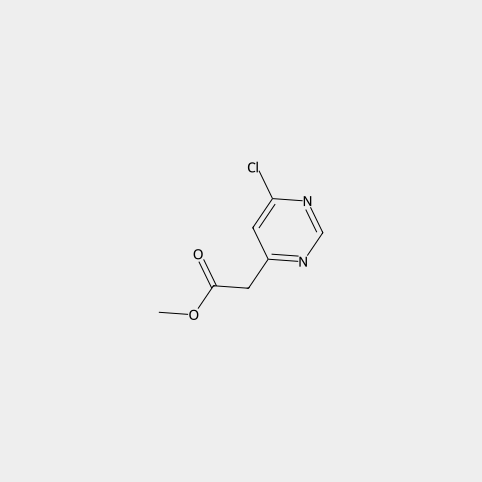 COC(=O)Cc1cc(Cl)ncn1